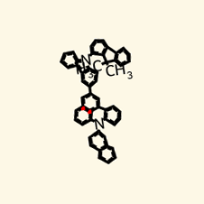 CC1(C)c2ccccc2-c2cccc(-n3c4ccccc4c4cc(-c5cccc(-c6ccccc6N(c6ccccc6)c6ccc7ccccc7c6)c5)ccc43)c21